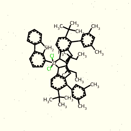 CCC(C)C1=Cc2c(ccc(C(C)(C)C)c2-c2cc(C)cc(C)c2)[CH]1[Zr]([Cl])([Cl])([c]1cccc2c1[SiH2]c1ccccc1-2)[CH]1C(C(C)CC)=Cc2c1ccc(C(C)(C)C)c2-c1cc(C)cc(C)c1